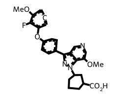 COc1cccc(Oc2ccc(-c3nn(C4CCCC(C(=O)O)C4)c4c(OC)cncc34)cc2)c1F